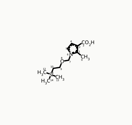 Cc1c(C(=O)O)ccn1COCC[Si](C)(C)C